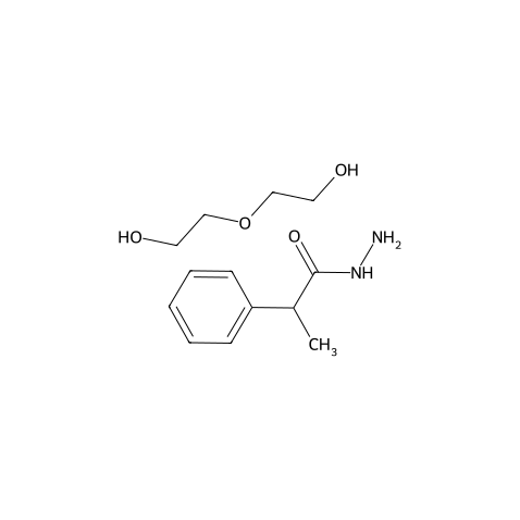 CC(C(=O)NN)c1ccccc1.OCCOCCO